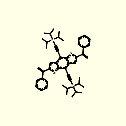 C=C(c1ccccc1)c1cc2c(C#C[Si](C(C)C)(C(C)C)C(C)C)c3sc(C(=C)c4ccccc4)cc3c(C#C[Si](C(C)C)(C(C)C)C(C)C)c2s1